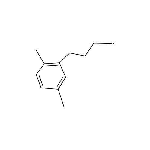 [CH2]CCCc1cc(C)ccc1C